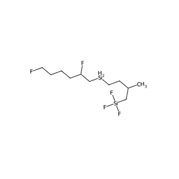 CC(CC[SiH2]CC(F)CCCCF)C[Si](F)(F)F